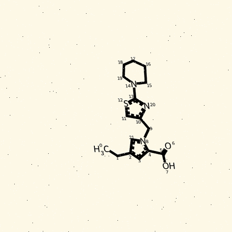 CCc1cc(C(=O)O)n(Cc2csc(N3CCCCC3)n2)c1